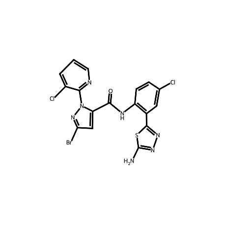 Nc1nnc(-c2cc(Cl)ccc2NC(=O)c2cc(Br)nn2-c2ncccc2Cl)s1